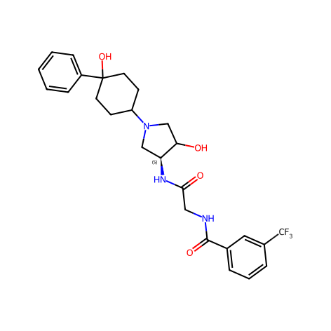 O=C(CNC(=O)c1cccc(C(F)(F)F)c1)N[C@H]1CN(C2CCC(O)(c3ccccc3)CC2)CC1O